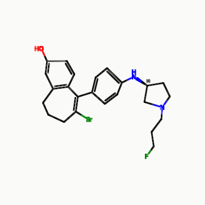 Oc1ccc2c(c1)CCCC(Br)=C2c1ccc(N[C@H]2CCN(CCCF)C2)cc1